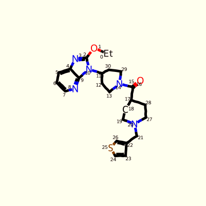 CCOc1nc2cccnc2n1C1CCN(C(=O)C2CCN(Cc3ccsc3)CC2)CC1